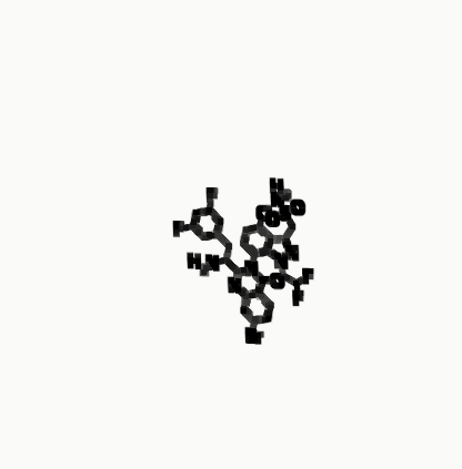 NC(Cc1cc(F)cc(F)c1)c1nc2cc(Br)ccc2c(=O)n1-c1ccc(Cl)c2c(CS(N)(=O)=O)nn(CC(F)F)c12